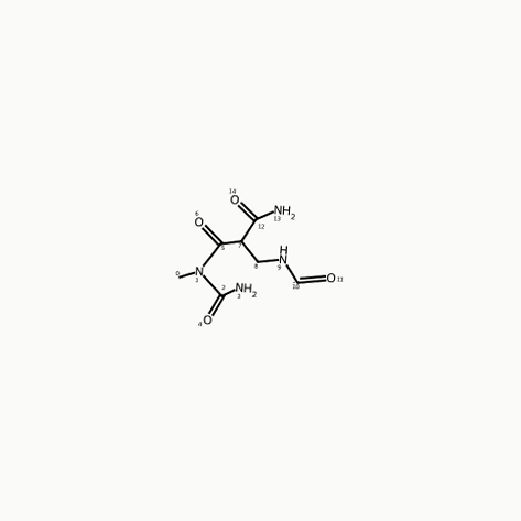 CN(C(N)=O)C(=O)C(CN[C]=O)C(N)=O